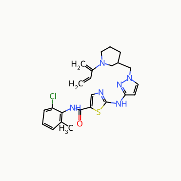 C=CC(=C)N1CCCC(Cn2ccc(Nc3ncc(C(=O)Nc4c(C)cccc4Cl)s3)n2)C1